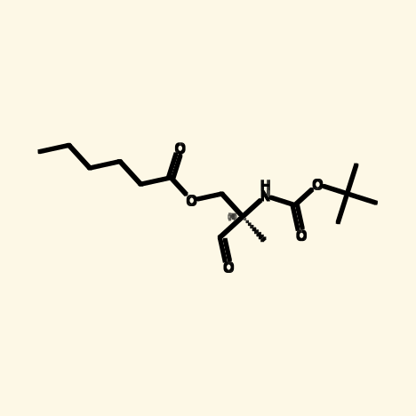 CCCCCC(=O)OC[C@](C)(C=O)NC(=O)OC(C)(C)C